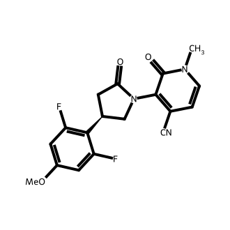 COc1cc(F)c([C@H]2CC(=O)N(c3c(C#N)ccn(C)c3=O)C2)c(F)c1